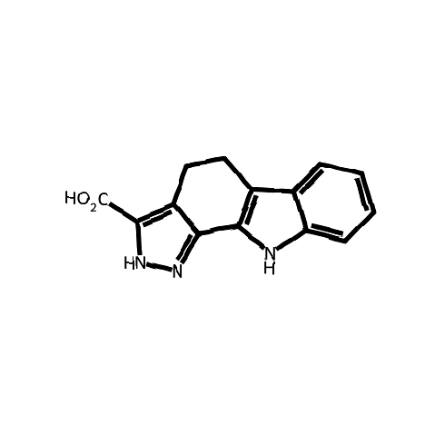 O=C(O)c1[nH]nc2c1CCc1c-2[nH]c2ccccc12